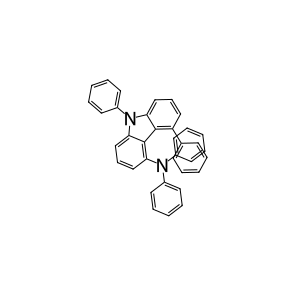 c1ccc(-c2cccc3c2c2c(N(c4ccccc4)c4ccccc4)cccc2n3-c2ccccc2)cc1